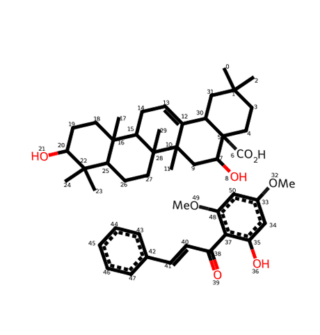 CC1(C)CCC2(C(=O)O)C(O)CC3(C)C(=CCC4C5(C)CCC(O)C(C)(C)C5CCC43C)C2C1.COc1cc(O)c(C(=O)C=Cc2ccccc2)c(OC)c1